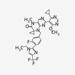 CCn1cc(C(F)(F)F)nc1-c1ccc(CN2c3nc(-c4c(OC)ncnc4C4CC4)ncc3N(C)C(=O)C23CC3)cc1F